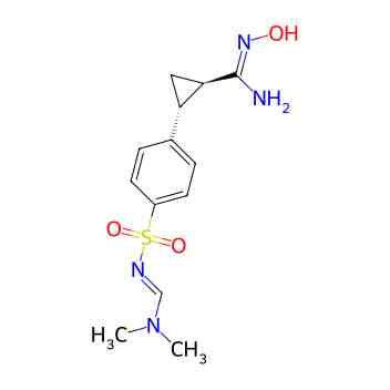 CN(C)/C=N/S(=O)(=O)c1ccc([C@@H]2C[C@H]2/C(N)=N/O)cc1